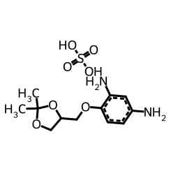 CC1(C)OCC(COc2ccc(N)cc2N)O1.O=S(=O)(O)O